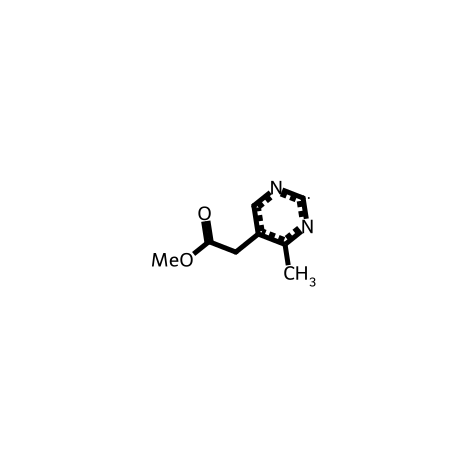 COC(=O)Cc1cn[c]nc1C